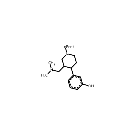 CCCCCN1CCC(c2cccc(O)c2)C(CN(C)C)C1